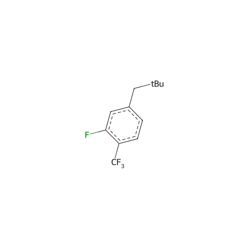 CC(C)(C)Cc1ccc(C(F)(F)F)c(F)c1